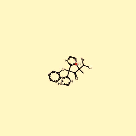 CC(C)(C(=O)C(Oc1ccccc1)(c1nc[nH]n1)c1ncc[nH]1)C(Cl)Br